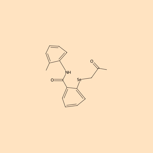 CC(=O)C[Se]c1ccccc1C(=O)Nc1ccccc1C